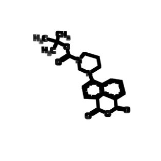 CC(C)(C)OC(=O)N1CCCN(c2ccc3c4c(cccc24)C(=O)OC3=O)C1